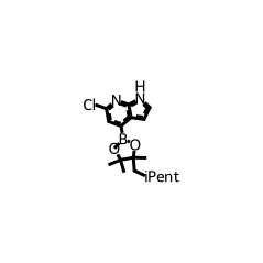 CCCC(C)CC1(C)OB(c2cc(Cl)nc3[nH]ccc23)OC1(C)C